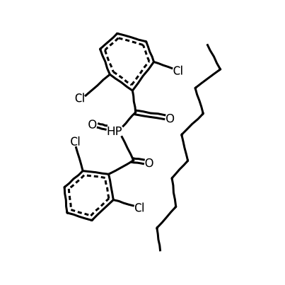 CCCCCCCCCC.O=C(c1c(Cl)cccc1Cl)[PH](=O)C(=O)c1c(Cl)cccc1Cl